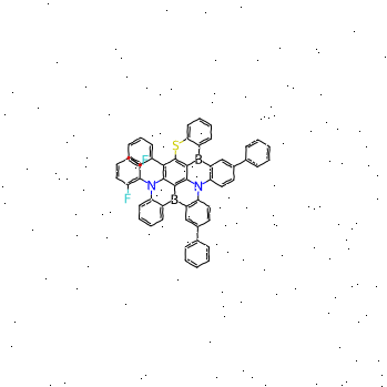 Fc1cccc(F)c1N1c2ccccc2B2c3cc(-c4ccccc4)ccc3N3c4ccc(-c5ccccc5)cc4B4c5ccccc5Sc5c4c3c2c1c5-c1ccccc1